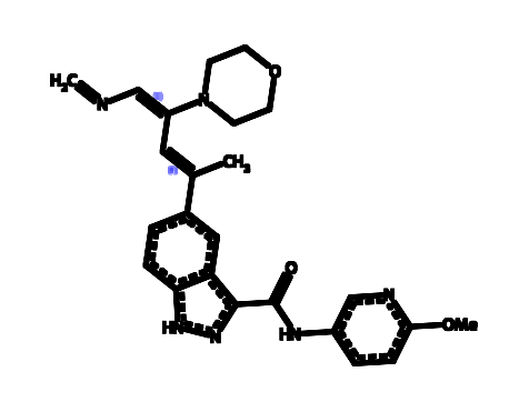 C=N/C=C(\C=C(/C)c1ccc2[nH]nc(C(=O)Nc3ccc(OC)nc3)c2c1)N1CCOCC1